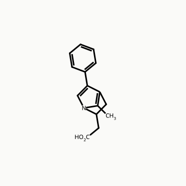 Cc1c2c(-c3ccccc3)cn1C(CC(=O)O)C2